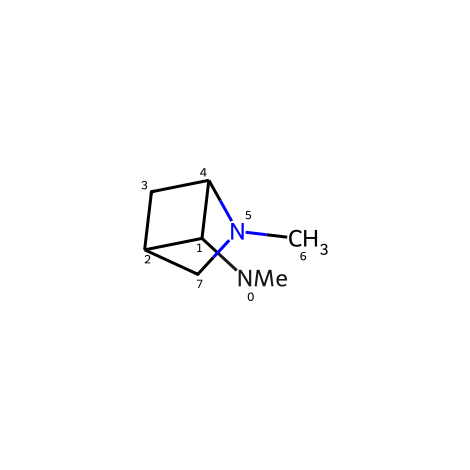 CNC1C2CC1N(C)C2